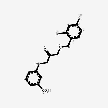 O=C(CNc1cccc(C(=O)O)c1)COCc1ccc(Cl)cc1Br